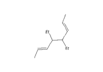 CC=C[C](CC)C(C=CC)CC